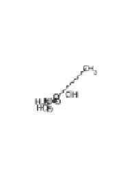 CCCCCCCCCCCCCCCCOC(=O)NCC(N)C(=O)O.Cl